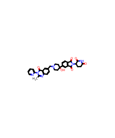 Cc1nc2ccc(CN3CCC(O)(c4ccc5c(c4)C(=O)N(C4CCC(=O)NC4=O)C5=O)CC3)cc2c(=O)n1-c1ccccn1